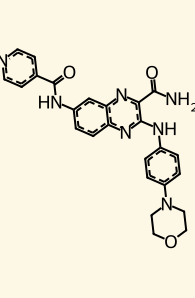 NC(=O)c1nc2cc(NC(=O)c3ccncc3)ccc2nc1Nc1ccc(N2CCOCC2)cc1